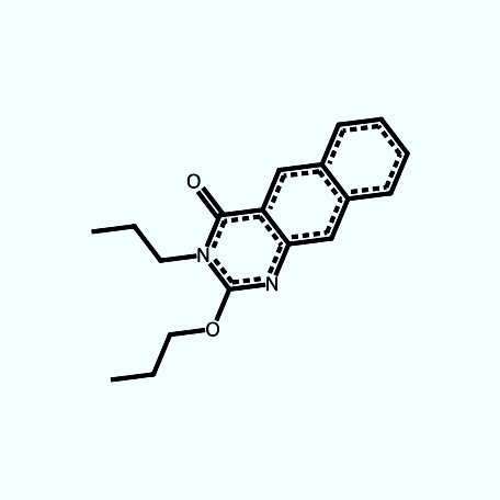 CCCOc1nc2cc3ccccc3cc2c(=O)n1CCC